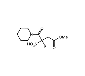 COC(=O)CC(F)(C(=O)N1CCCCC1)S(=O)(=O)O